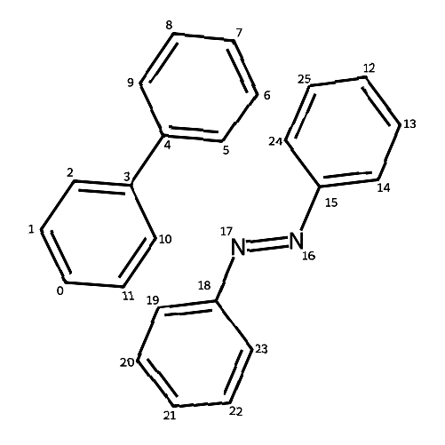 c1ccc(-c2ccccc2)cc1.c1ccc(N=Nc2ccccc2)cc1